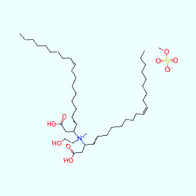 CCCCCCCC/C=C\CCCCCCCCC(CC(=O)O)[N+](C)(CCO)C(CCCCCCCC/C=C\CCCCCCCC)CC(=O)O.COS(=O)(=O)[O-]